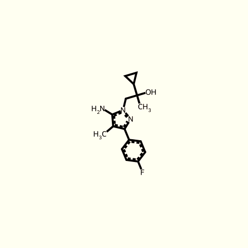 Cc1c(-c2ccc(F)cc2)nn(CC(C)(O)C2CC2)c1N